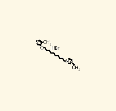 Br.C=CN1C=CN(CCCCCCCCCCOc2cscc2C)C1